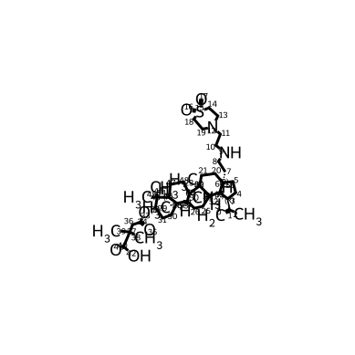 C=C(C)[C@@H]1CC[C@]2(CCNCCN3CCS(=O)(=O)CC3)CC[C@]3(C)[C@H](CC[C@@H]4[C@@]5(C)CC[C@H](OC(=O)CC(C)(C)C(=O)O)C(C)(C)[C@@H]5CC[C@]43C)[C@@H]12